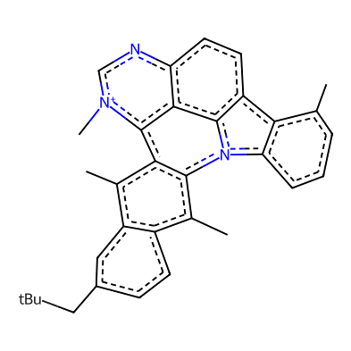 Cc1cccc2c1c1ccc3nc[n+](C)c4c5c(C)c6cc(CC(C)(C)C)ccc6c(C)c5n2c1c34